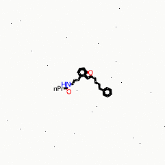 CCCC(=O)NCCCc1cccc2oc(CCCCc3ccccc3)cc12